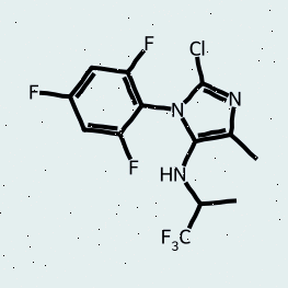 Cc1nc(Cl)n(-c2c(F)cc(F)cc2F)c1NC(C)C(F)(F)F